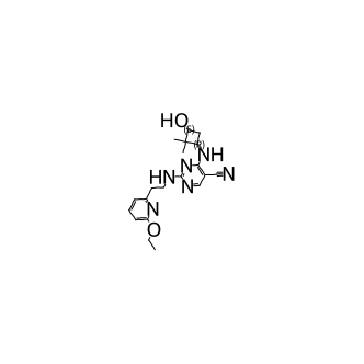 CCOc1cccc(CCNc2ncc(C#N)c(N[C@@H]3C[C@H](O)C3(C)C)n2)n1